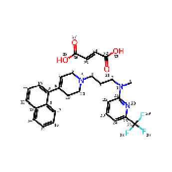 CN(CCCN1CC=C(c2cccc3ccccc23)CC1)c1cccc(C(F)(F)F)n1.O=C(O)C=CC(=O)O